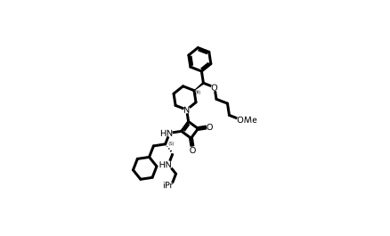 COCCCOC(c1ccccc1)[C@@H]1CCCN(c2c(N[C@H](CNCC(C)C)CC3CCCCC3)c(=O)c2=O)C1